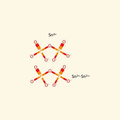 O=P([O-])([O-])OP(=O)([O-])[O-].O=P([O-])([O-])OP(=O)([O-])[O-].[Sn+2].[Sn+2].[Sn+4]